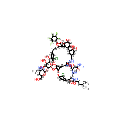 CC(C)CCC(=O)N[C@H]1CN[C@@H](CC(N)=O)C(=O)N[C@H]2C(=O)NCc3ccc(O)c(c3)-c3c(O)cc(O)cc3[C@@H](C(=O)Oc3c(F)c(F)c(F)c(F)c3F)C(=O)CCc3ccc(c(Cl)c3)OC3CC2=CC(=C3OC2OC(CO)C(O)C(O)C2OC2CC(C)(N)CC(CO)O2)Oc2ccc(cc2Cl)[C@H]1O